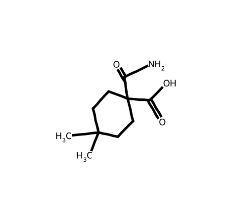 CC1(C)CCC(C(N)=O)(C(=O)O)CC1